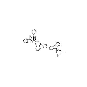 CC1C=C2C(=CC(C)C1)C21c2ccccc2-c2cc(-c3ccc(C4CCC(c5nc(-c6ccccc6)nc(-c6ccccc6)n5)CC5C=CC=CC54)cc3)ccc21